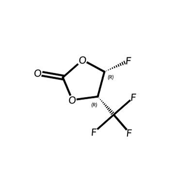 O=C1O[C@@H](C(F)(F)F)[C@@H](F)O1